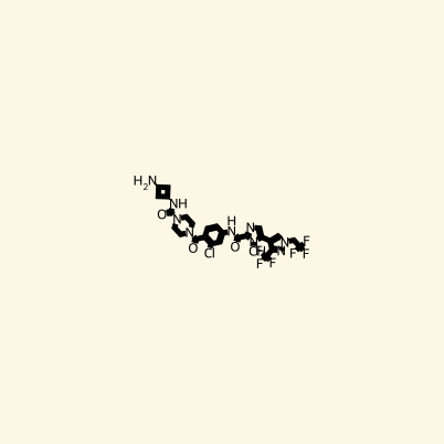 Cn1c(-c2cn(CC(F)(F)F)nc2C(F)(F)F)cnc1C(=O)Nc1ccc(C(=O)N2CCN(C(=O)N[C@H]3C[C@@H](N)C3)CC2)c(Cl)c1